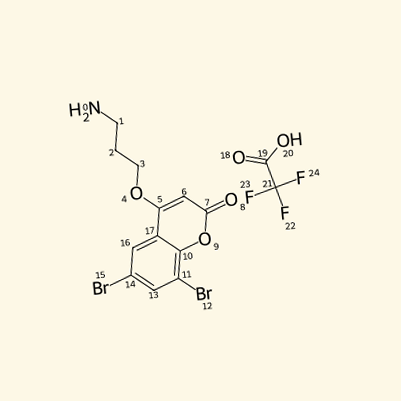 NCCCOc1cc(=O)oc2c(Br)cc(Br)cc12.O=C(O)C(F)(F)F